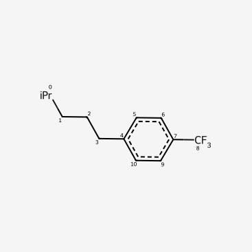 CC(C)CCCc1ccc(C(F)(F)F)cc1